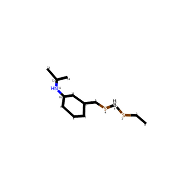 CCSBSCC1CCCC(NC(C)C)C1